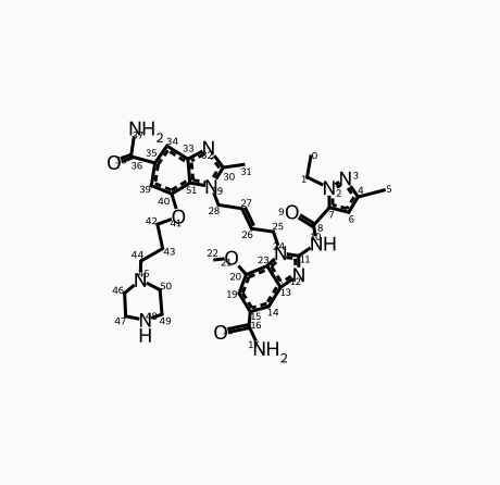 CCn1nc(C)cc1C(=O)Nc1nc2cc(C(N)=O)cc(OC)c2n1C/C=C/Cn1c(C)nc2cc(C(N)=O)cc(OCCCN3CCNCC3)c21